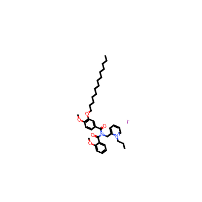 CCCCCCCCCCCCCCOc1cc(C(=O)N(Cc2cccc[n+]2CCC)C(=O)c2ccccc2OC)ccc1OC.[I-]